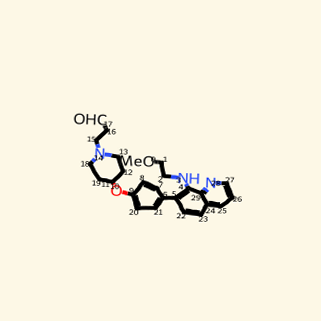 COCCNc1c(-c2ccc(OC3CCN(CCC=O)CC3)cc2)ccc2cccnc12